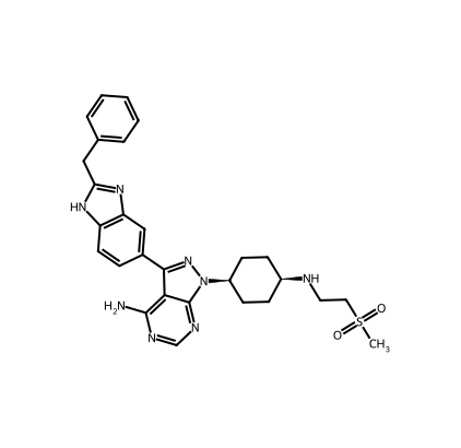 CS(=O)(=O)CCN[C@H]1CC[C@@H](n2nc(-c3ccc4[nH]c(Cc5ccccc5)nc4c3)c3c(N)ncnc32)CC1